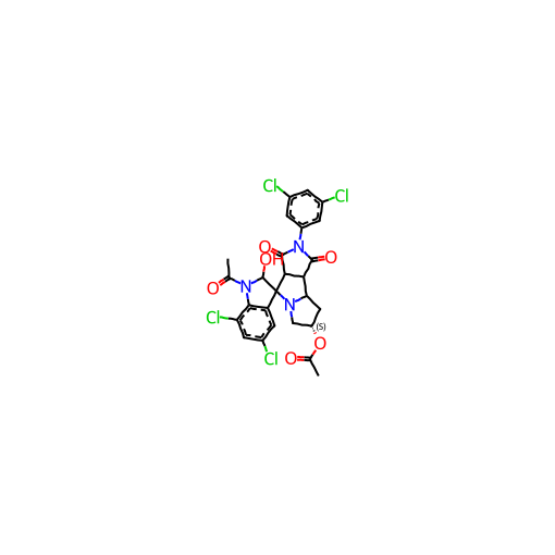 CC(=O)O[C@H]1CC2C3C(=O)N(c4cc(Cl)cc(Cl)c4)C(=O)C3C3(c4cc(Cl)cc(Cl)c4N(C(C)=O)C3O)N2C1